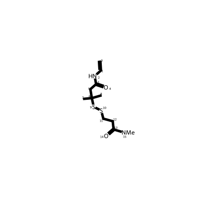 C=CNC(=O)CC(C)(C)SSCCC(=O)NC